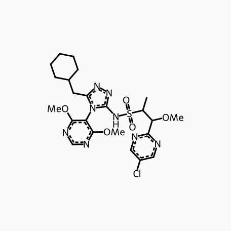 COc1ncnc(OC)c1-n1c(CC2CCCCC2)nnc1NS(=O)(=O)C(C)C(OC)c1ncc(Cl)cn1